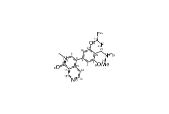 COc1cc(-c2cn(C)c(=O)c3cnccc23)cc(OC(F)F)c1CN(C)C